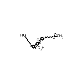 C=CC(=O)OCCCCCCOc1ccc(C(=O)Oc2ccc(-c3cc(OCCCCCCCCO)ccc3C(=O)O)cc2)cc1